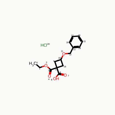 CCOC(=O)C1(C(=O)O)CC(OCc2ccccc2)C1.Cl